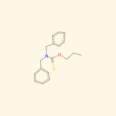 CCCOC(=S)N(Cc1ccccc1)Cc1ccccc1